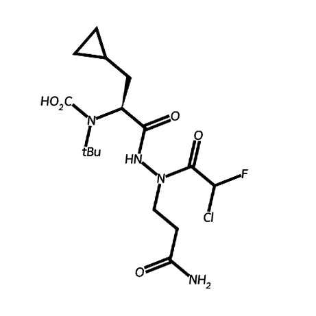 CC(C)(C)N(C(=O)O)[C@@H](CC1CC1)C(=O)NN(CCC(N)=O)C(=O)C(F)Cl